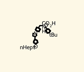 CCCCCCCOc1ccc(C2CCN(c3ccc(CC(NC(=O)c4ccc(C(C)(C)C)cc4)C(=O)O)cc3)C2)cc1